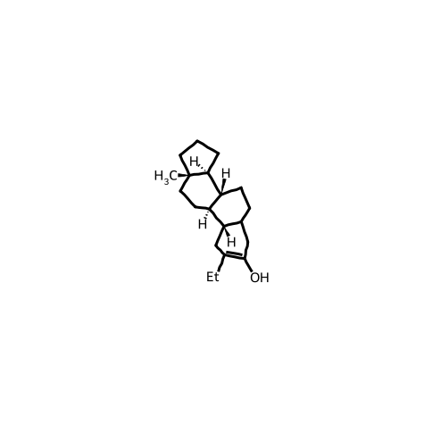 CCC1=C(O)CC2CC[C@@H]3[C@H](CC[C@]4(C)CCC[C@@H]34)[C@H]2C1